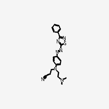 CN(C)CCN(CCC#N)c1ccc(N=Nc2nc(-c3ccccc3)ns2)cc1